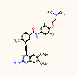 COc1cc2nc(N)nc(C#Cc3cc(C(=O)Nc4cc(Cl)c(OCCN(C)C)c(Cl)c4)ccc3C)c2cc1OC